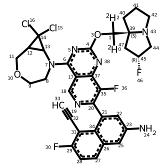 [2H]C([2H])(Oc1nc(N2CCOCC3C2C3(Cl)Cl)c2cnc(-c3cc(N)cc4ccc(F)c(C#C)c34)c(F)c2n1)[C@@]12CCCN1C[C@H](F)C2